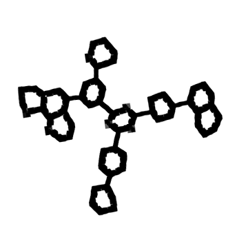 c1ccc(-c2ccc(-c3nc(-c4ccc(-c5cccc6ccccc56)cc4)nc(-c4cc(-c5ccccn5)cc(-c5cc6cccnc6c6ncccc56)c4)n3)cc2)cc1